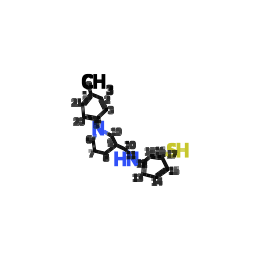 Cc1ccc(N2CCCC(CNc3cccc(S)c3)C2)cc1